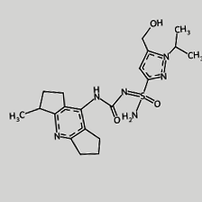 CC1CCc2c1nc1c(c2NC(=O)N=S(N)(=O)c2cc(CO)n(C(C)C)n2)CCC1